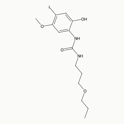 CCCOCCCNC(=O)Nc1cc(OC)c(I)cc1O